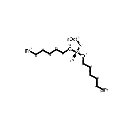 CCCCCCCCSP(=S)(OCCCCCC(C)C)OCCCCCC(C)C